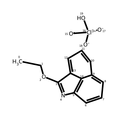 CCOC1=Nc2cccc3cccc1c23.[O-][Cl+3]([O-])([O-])O